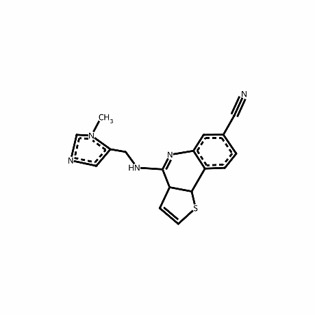 Cn1cncc1CNC1=Nc2cc(C#N)ccc2C2SC=CC12